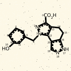 O=C(O)c1nn(Cc2cccc(O)c2)c2c1CCc1[nH]ncc1-2